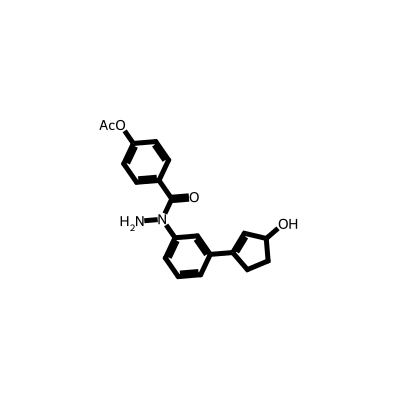 CC(=O)Oc1ccc(C(=O)N(N)c2cccc(C3=CC(O)CC3)c2)cc1